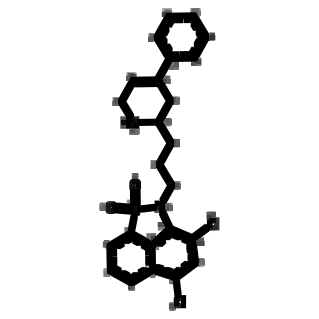 O=S1(=O)c2cccc3c(Cl)cc(Cl)c(c23)N1CCCC1CC(c2ccccc2)=CCN1